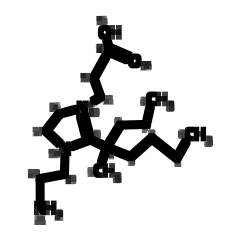 CCCCC(C)(CCC)C1=[N+](CCC(=O)O)CCN1CCN